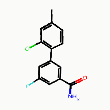 Cc1ccc(-c2cc(F)cc(C(N)=O)c2)c(Cl)c1